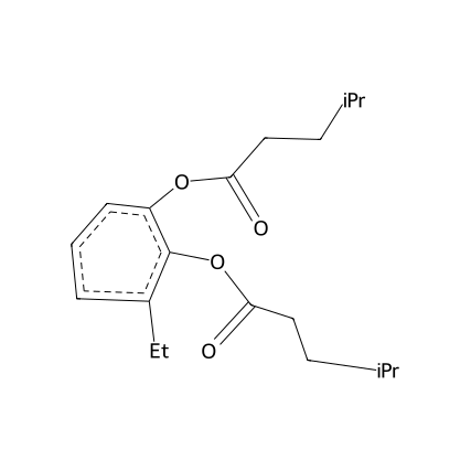 CCc1cccc(OC(=O)CCC(C)C)c1OC(=O)CCC(C)C